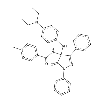 CCN(CC)c1ccc(NC2(NC(=O)c3ccc(C)cc3)C(=O)N(c3ccccc3)N=C2c2ccccc2)cc1